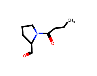 CCCC(=O)N1CCCC1C=O